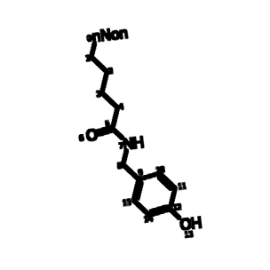 CCCCCCCCCCCCCC(=O)NCc1ccc(O)cc1